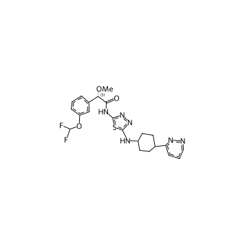 CO[C@H](C(=O)Nc1nnc(NC2CCC(c3cccnn3)CC2)s1)c1cccc(OC(F)F)c1